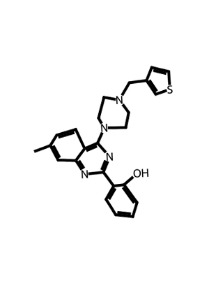 Cc1ccc2c(N3CCN(Cc4ccsc4)CC3)nc(-c3ccccc3O)nc2c1